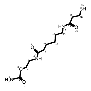 NC(=O)OCCNC(=O)CCCCCNC(=O)CCS